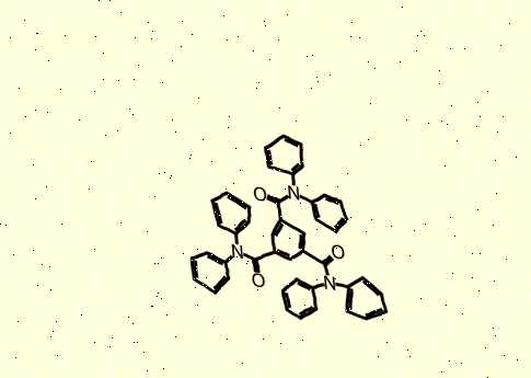 O=C(c1cc(C(=O)N(c2ccccc2)c2ccccc2)cc(C(=O)N(c2ccccc2)c2ccccc2)c1)N(c1ccccc1)c1ccccc1